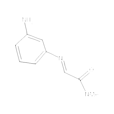 CNC(=O)C=Nc1cccc(N)c1